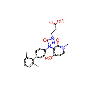 Cc1cccc(C)c1-c1ccc(N(C(=O)NCCC(=O)O)c2c(O)ccn(C)c2=O)cc1